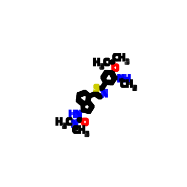 CNc1cc(-c2ncc(-c3cccc4c3CC[C@@H]4NC(=O)N(C)C)s2)ccc1OC(C)C